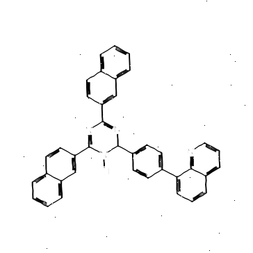 CN1C(c2ccc3ccccc3c2)=NC(c2ccc3ccccc3c2)=NC1c1ccc(-c2cccc3cccnc23)cc1